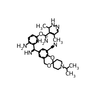 CC1=C([C@@H](N)Oc2ccc(N)c(C(=N)c3cc(C#N)c4c(c3)COC3(CCN(C(C)C)CC3)O4)c2)C(C)NN=C1